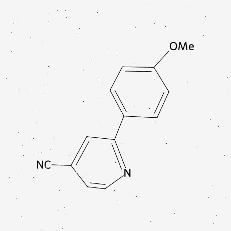 COc1ccc(-c2cc(C#N)ccn2)cc1